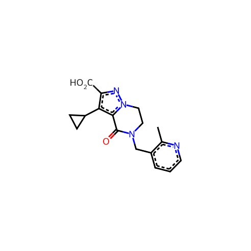 Cc1ncccc1CN1CCn2nc(C(=O)O)c(C3CC3)c2C1=O